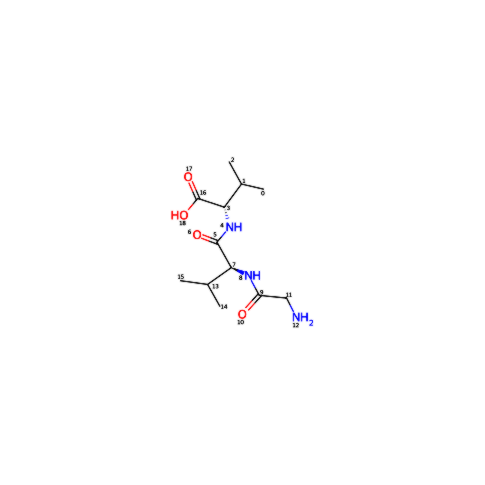 CC(C)[C@H](NC(=O)[C@@H](NC(=O)CN)C(C)C)C(=O)O